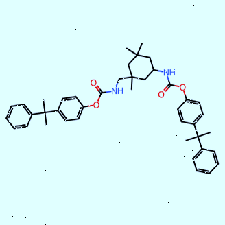 CC1(C)CC(NC(=O)Oc2ccc(C(C)(C)c3ccccc3)cc2)CC(C)(CNC(=O)Oc2ccc(C(C)(C)c3ccccc3)cc2)C1